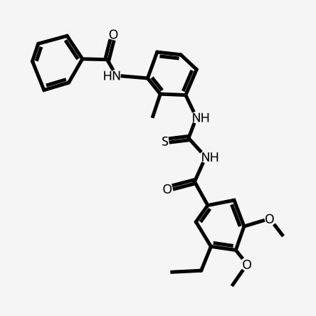 CCc1cc(C(=O)NC(=S)Nc2cccc(NC(=O)c3ccccc3)c2C)cc(OC)c1OC